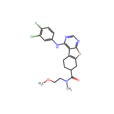 COCCN(C)C(=O)C1CCc2c(sc3ncnc(Nc4ccc(F)c(Cl)c4)c23)C1